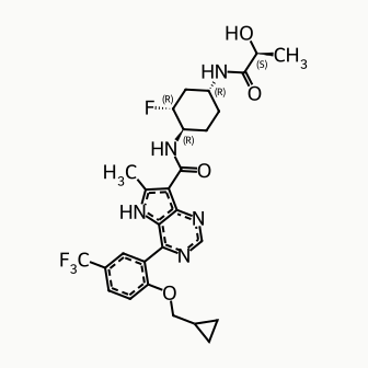 Cc1[nH]c2c(-c3cc(C(F)(F)F)ccc3OCC3CC3)ncnc2c1C(=O)N[C@@H]1CC[C@@H](NC(=O)[C@H](C)O)C[C@H]1F